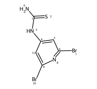 NC(=S)Nc1cc(Br)nc(Br)c1